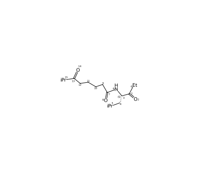 CCC(=O)[C@H](CC(C)C)NC(=O)CCCCC(=O)C(C)C